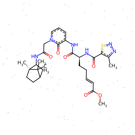 COC(=O)/C=C/CC[C@H](NC(=O)c1snnc1C)C(=O)Nc1cccn(CC(=O)NC2CC3CC[C@]2(C)C3(C)C)c1=O